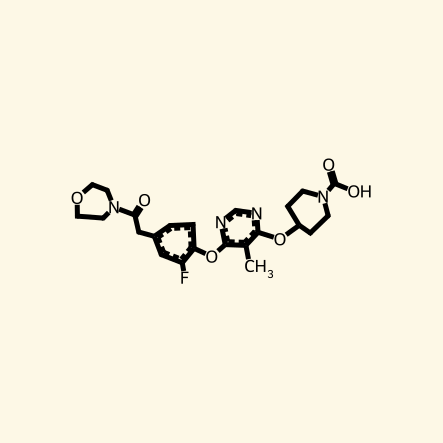 Cc1c(Oc2ccc(CC(=O)N3CCOCC3)cc2F)ncnc1OC1CCN(C(=O)O)CC1